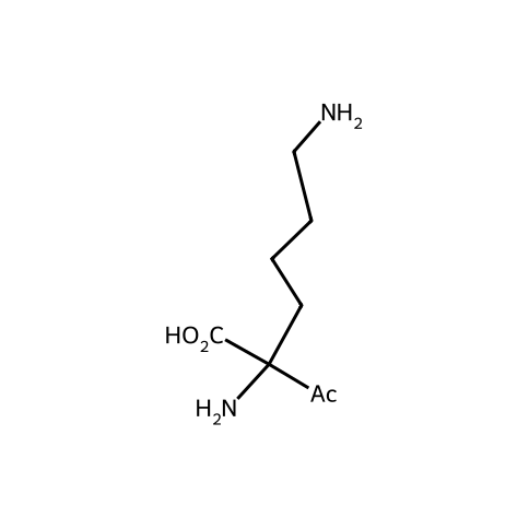 CC(=O)C(N)(CCCCN)C(=O)O